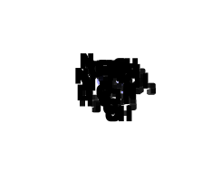 CC1(C)OC(=C(C#N)C#N)C(C#N)=C1/C=C/C1=C(C#C[Si](C)(C)C)C(=C/C=C2/N(CCCCCC(=O)O)c3ccccc3C2(C)C)/CC(C(C)(C)C)C1